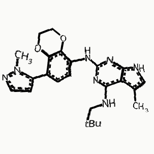 Cc1c[nH]c2nc(Nc3ccc(-c4ccnn4C)c4c3OCCO4)nc(NCC(C)(C)C)c12